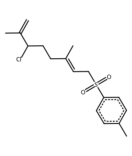 C=C(C)C(Cl)CC/C(C)=C/CS(=O)(=O)c1ccc(C)cc1